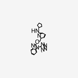 Cn1nnnc1-n1c(OCc2cccc(NC3CCCC3)n2)nc2ccccc21